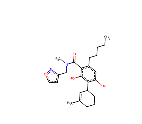 CCCCCc1cc(O)c(C2C=C(C)CCC2)c(O)c1C(=O)N(C)Cc1ccon1